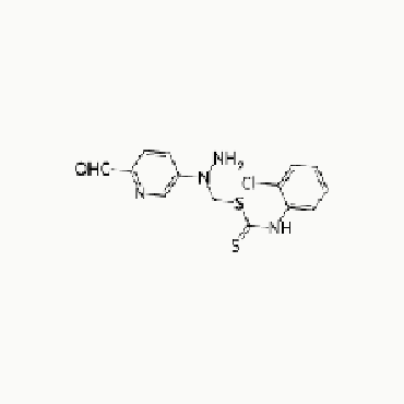 NN(CSC(=S)Nc1ccccc1Cl)c1ccc(C=O)nc1